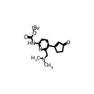 CN(C)Cc1nc(NC(=O)OC(C)(C)C)ccc1C1=CC(=O)CC1